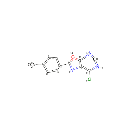 O=[N+]([O-])c1ccc(-c2nc3c(Cl)ncnc3o2)cc1